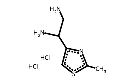 Cc1nc(C(N)CN)cs1.Cl.Cl